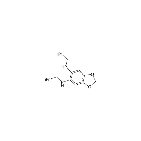 CC(C)CPc1cc2c(cc1PCC(C)C)OCO2